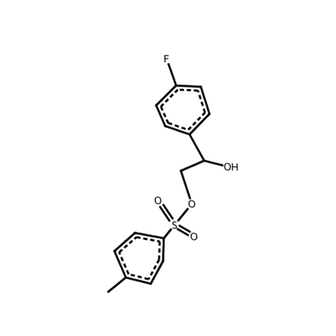 Cc1ccc(S(=O)(=O)OCC(O)c2ccc(F)cc2)cc1